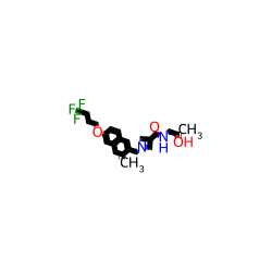 C[C@H](O)CNC(=O)C1CN(CC2=Cc3ccc(OCCCC(F)(F)F)cc3C[C@@H]2C)C1